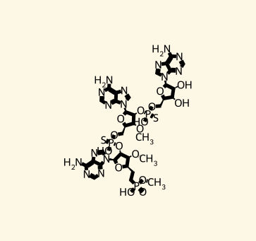 CO[C@H]1[C@@H](OP(O)(=S)OC[C@H]2O[C@@H](n3cnc4c(N)ncnc43)[C@H](OP(O)(=S)OC[C@H]3O[C@@H](n4cnc5c(N)ncnc54)[C@H](O)[C@@H]3O)[C@@H]2OC)[C@H](n2cnc3c(N)ncnc32)O[C@@H]1CCP(=O)(O)OC